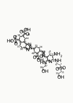 Cc1c(N)c(NCCS(=O)(=O)CCO)nc(NCCO)c1/N=N/c1ccc(-n2nc3ccc4c(S(=O)(=O)O)cc(S(=O)(=O)O)cc4c3n2)cc1S(=O)(=O)O